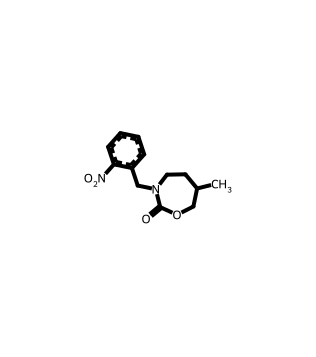 CC1CCN(Cc2ccccc2[N+](=O)[O-])C(=O)OC1